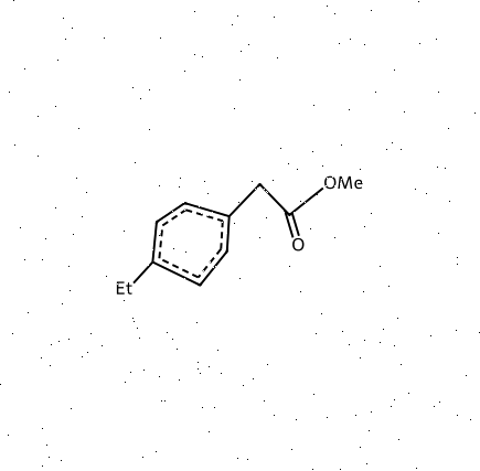 CCc1ccc(CC(=O)OC)cc1